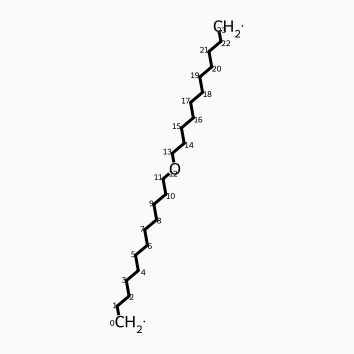 [CH2]CCCCCCCCCCCOCCCCCCCCCC[CH2]